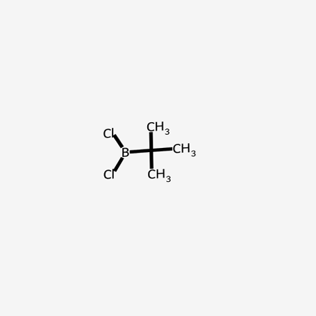 CC(C)(C)B(Cl)Cl